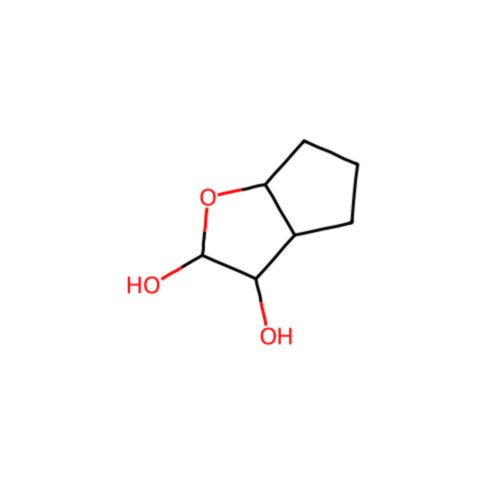 OC1OC2CCCC2C1O